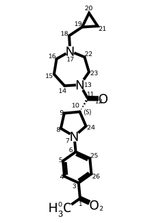 CC(=O)c1ccc(N2CC[C@H](C(=O)N3CCCN(CC4CC4)CC3)C2)cc1